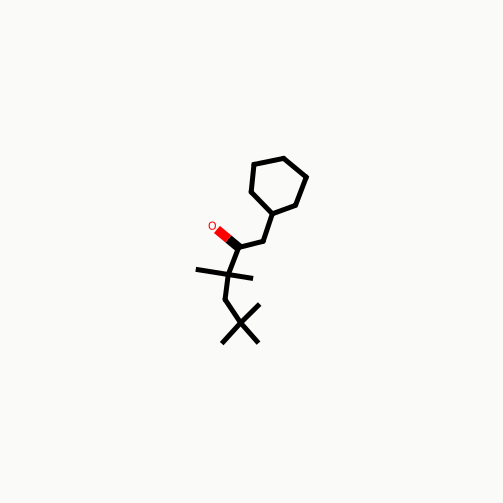 CC(C)(C)CC(C)(C)C(=O)CC1CCCCC1